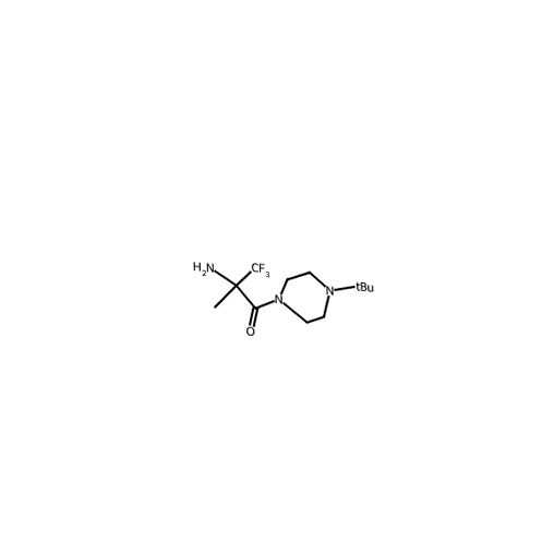 CC(C)(C)N1CCN(C(=O)C(C)(N)C(F)(F)F)CC1